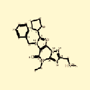 CCn1c(=O)c2c(nc(C3CCCC3)n2Cc2ccccc2)n2nc(CNC)nc12